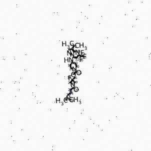 CC(C)c1cnn2c(NC3CCN(C(=O)OCC4(F)CN(C(=O)/C=C/CN(C)C)C4)CC3)cc(C(F)(F)F)nc12